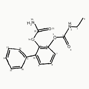 CCNC(=O)Oc1cccc(-c2ccccc2)c1OC(N)=O